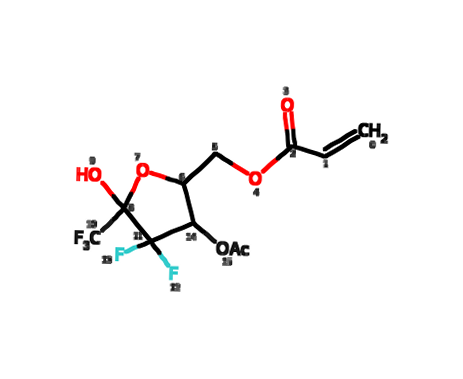 C=CC(=O)OCC1OC(O)(C(F)(F)F)C(F)(F)C1OC(C)=O